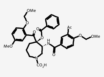 COCOc1ccc(C(=O)N[C@@H]2CN(C(=O)O)CCC[C@]2(OC(=O)c2ccccc2)C(=O)c2cc(OC)ccc2OCOC)cc1C(C)=O